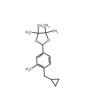 Cc1cc(B2OC(C)(C)C(C)(C)O2)ccc1[C]C1CC1